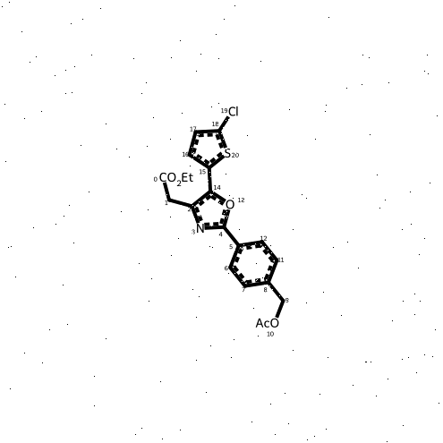 CCOC(=O)Cc1nc(-c2ccc(COC(C)=O)cc2)oc1-c1ccc(Cl)s1